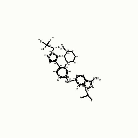 CC(C)n1nc(N)c2ccc(Nc3cc(N4CCC[C@H](N)C4)c(-c4cnn(CC(F)(F)F)c4)cn3)nc21